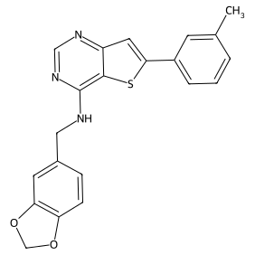 Cc1cccc(-c2cc3ncnc(NCc4ccc5c(c4)OCO5)c3s2)c1